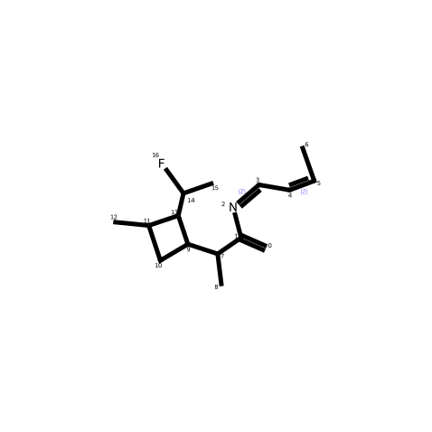 C=C(/N=C\C=C/C)C(C)C1CC(C)C1C(C)F